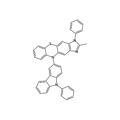 Cc1nc2cc3c(cc2n1-c1ccccc1)Sc1ccccc1N3c1ccc2c(c1)c1ccccc1n2-c1ccccc1